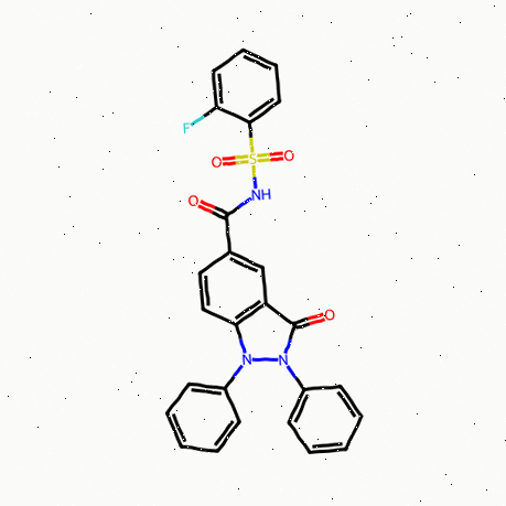 O=C(NS(=O)(=O)c1ccccc1F)c1ccc2c(c1)c(=O)n(-c1ccccc1)n2-c1ccccc1